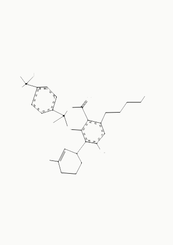 CCCCCc1cc(O)c(C2C=C(C)CCC2)c2c1C(=O)OC(C)(c1ccc(C(F)(F)F)cc1)O2